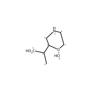 CC(C(=O)O)C1CNCCO1.Cl